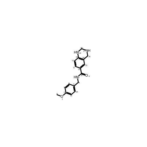 COc1ccc(CNC(=O)c2ccc3c(c2)CNCN3)cc1